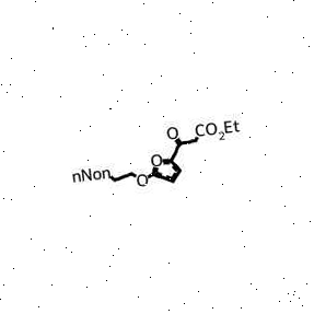 CCCCCCCCCCCOc1ccc(C(=O)CC(=O)OCC)o1